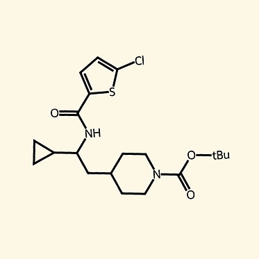 CC(C)(C)OC(=O)N1CCC(CC(NC(=O)c2ccc(Cl)s2)C2CC2)CC1